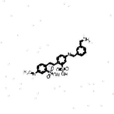 C=Cc1cccc(C=Nc2ccc(/C=C/c3ccc(N=C)cc3S(=O)(=O)O)c(S(=O)(=O)O)c2)c1